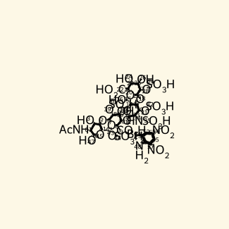 CC(=O)N[C@@H]1[C@@H](O)[C@H](O[C@@H]2O[C@H](C(=O)O)[C@@H](O[C@@H]3O[C@H](CO)[C@@H](O[C@H]4O[C@@H](C(=O)O)[C@H](O)[C@@H](O)[C@@H]4OS(=O)(=O)O)[C@H](OS(=O)(=O)O)[C@H]3NS(=O)(=O)O)[C@H](O)[C@H]2OS(=O)(=O)O)[C@H](COS(=O)(=O)O)O[C@H]1O.Nc1c(Br)cc([N+](=O)[O-])cc1[N+](=O)[O-]